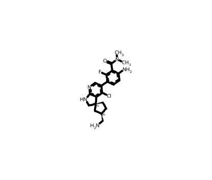 CN(C)C(=O)c1c(N)ccc(-c2cnc3c(c2Cl)[C@@]2(CC[C@@H](CN)C2)CN3)c1F